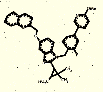 COc1ccc(-c2ccc(Cn3c(C4C(C(=O)O)C4(C)C)nc4cc(OCc5ccc6ccccc6n5)ccc43)c(F)c2)cn1